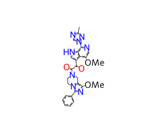 COc1nc(-c2ccccc2)n2c1CN(C(=O)C(=O)c1c[nH]c3c(-n4cnc(C)n4)ncc(OC)c13)CC2